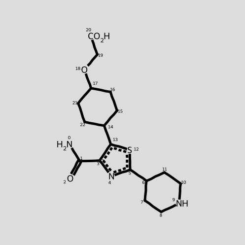 NC(=O)c1nc(C2CCNCC2)sc1C1CCC(OCC(=O)O)CC1